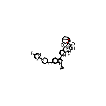 O=C(NC1(C(=O)O)C2CCC3CC(C2)CC1C3)c1ccc(-c2cn(C3CC3)c3cc(OC4CCN(c5ncc(F)cn5)CC4)ccc23)nc1C(F)(F)F